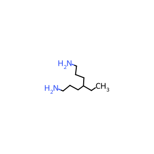 CCC(CCCN)CCCN